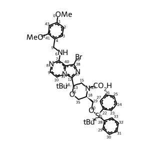 COc1ccc(CNc2nccn3c([C@@]4(C(C)(C)C)CN(C(=O)O)[C@@H](CO[Si](c5ccccc5)(c5ccccc5)C(C)(C)C)CO4)nc(Br)c23)c(OC)c1